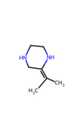 CC(C)=C1CNCCN1